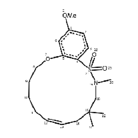 COc1ccc2c(c1)OCCCC/C=C\CC(C)(C)CN(C)S2(=O)=O